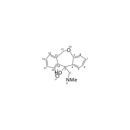 CNCC1(O)c2ccccc2OCc2cccc(Cl)c21